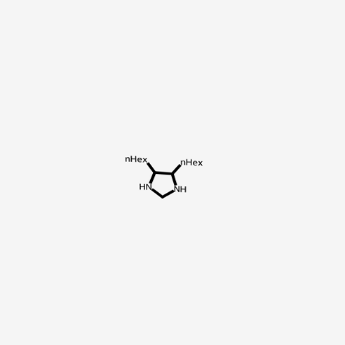 CCCCCCC1NCNC1CCCCCC